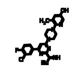 CCC(C)C(=N)c1nc(-c2ccc(F)c(Cl)c2)cc(N2CCN(c3ncc(O)cc3C)CC2)n1